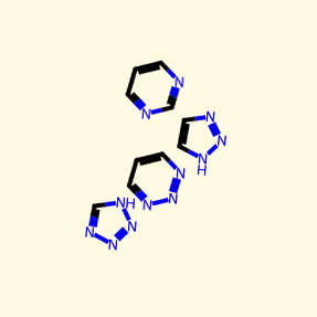 c1c[nH]nn1.c1cncnc1.c1cnnnc1.c1nnn[nH]1